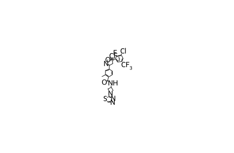 Cc1cc(C2=NO[C@](c3cc(C(F)(F)F)cc(Cl)c3F)(C(F)(F)F)C2)ccc1C(=O)NC1CN(c2nncs2)C1